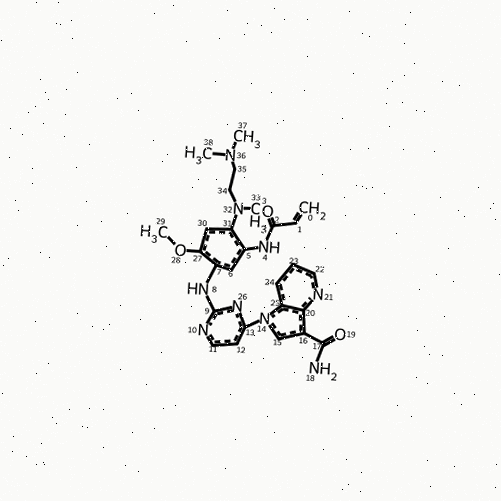 C=CC(=O)Nc1cc(Nc2nccc(-n3cc(C(N)=O)c4ncccc43)n2)c(OC)cc1N(C)CCN(C)C